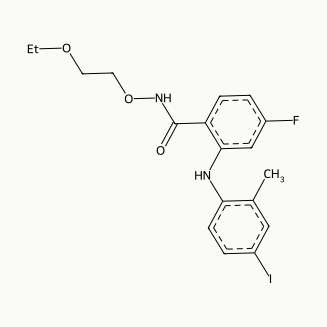 CCOCCONC(=O)c1ccc(F)cc1Nc1ccc(I)cc1C